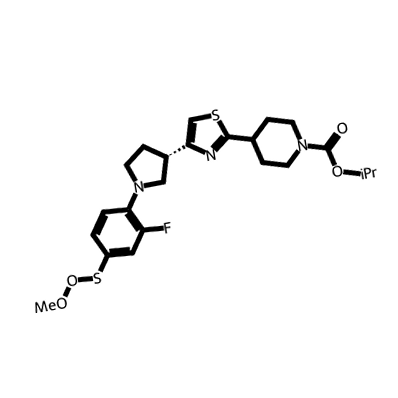 COOSc1ccc(N2CC[C@H](c3csc(C4CCN(C(=O)OC(C)C)CC4)n3)C2)c(F)c1